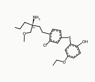 CCC[C@](N)(CCc1ccc(Sc2cc(OCC)ccc2O)cc1Cl)COC